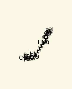 O=C(NCCCCCCCNC(=O)c1ccc(OC(F)(F)C(F)Cl)cc1)c1ccc(OC(F)(F)C(F)Cl)cc1